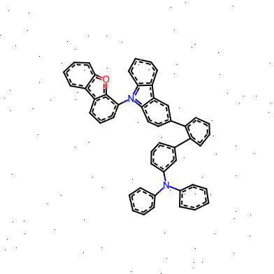 c1ccc(N(c2ccccc2)c2cccc(-c3ccccc3-c3ccc4c(c3)c3ccccc3n4-c3cccc4c3oc3ccccc34)c2)cc1